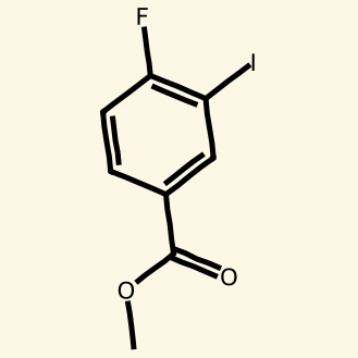 COC(=O)c1ccc(F)c(I)c1